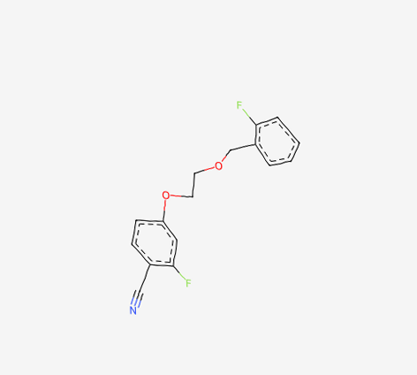 N#Cc1ccc(OCCOCc2ccccc2F)cc1F